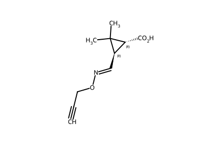 C#CCON=C[C@@H]1[C@@H](C(=O)O)C1(C)C